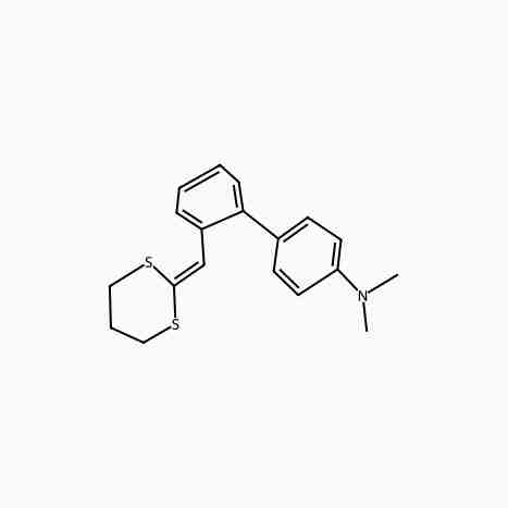 CN(C)c1ccc(-c2ccccc2C=C2SCCCS2)cc1